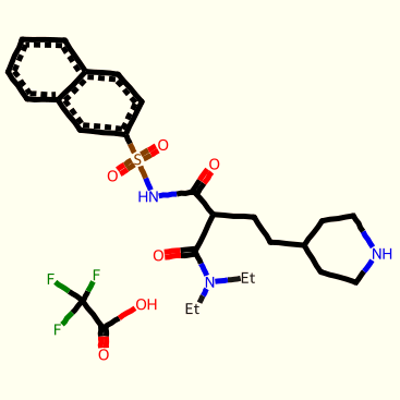 CCN(CC)C(=O)C(CCC1CCNCC1)C(=O)NS(=O)(=O)c1ccc2ccccc2c1.O=C(O)C(F)(F)F